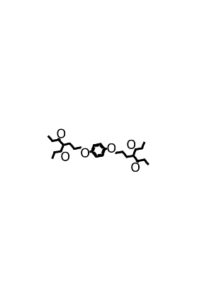 CCC(=O)C(CCCOc1ccc(OCCCC(C(=O)CC)C(=O)CC)cc1)C(=O)CC